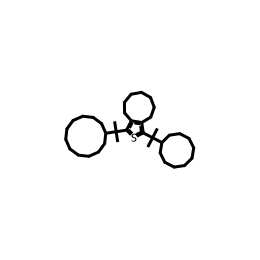 CC(C)(c1sc(C(C)(C)C2CCCCCCCCC2)c2c1CCCCCCC2)C1CCCCCCCCCCC1